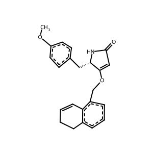 COc1ccc(C[C@@H]2NC(=O)C=C2OCc2cccc3c2C=CCC3)cc1